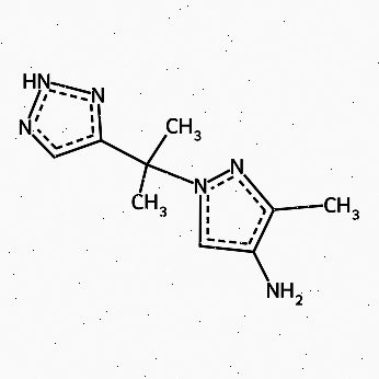 Cc1nn(C(C)(C)c2cn[nH]n2)cc1N